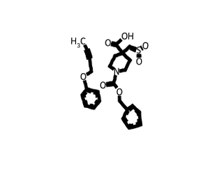 CC#CCOc1ccccc1.O=C(OCc1ccccc1)N1CCC(C=S(=O)=O)(C(=O)O)CC1